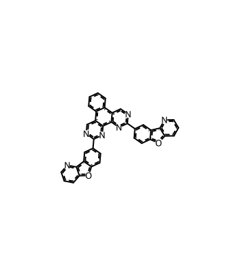 c1cnc2c(c1)oc1ccc(-c3ncc4c5ccccc5c5cnc(-c6ccc7oc8cccnc8c7c6)nc5c4n3)cc12